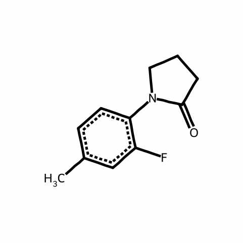 Cc1ccc(N2CCCC2=O)c(F)c1